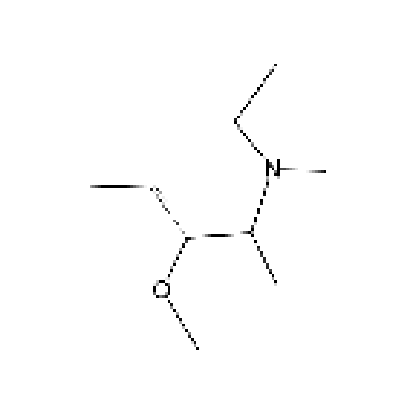 CC[C@@H](OC)C(C)N(C)CC